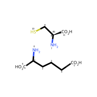 NC(CCCC(=O)O)C(=O)O.N[C@@H](CS)C(=O)O